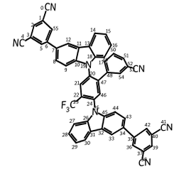 N#Cc1cc(C#N)cc(-c2ccc3c(c2)c2ccccc2n3-c2cc(C(F)(F)F)c(-n3c4ccccc4c4cc(-c5cc(C#N)cc(C#N)c5)ccc43)cc2-c2cccc(C#N)c2)c1